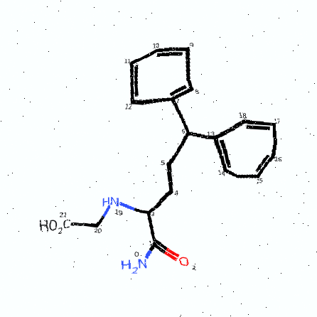 NC(=O)C(CCC(c1ccccc1)c1ccccc1)NCC(=O)O